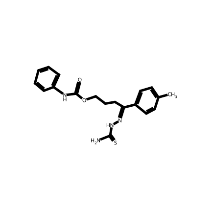 Cc1ccc(C(CCCOC(=O)Nc2ccccc2)=NNC(N)=S)cc1